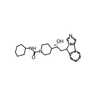 O=C(NC1CCCCC1)N1CCC([C@H](O)CC2c3ccccc3-c3cncn32)CC1